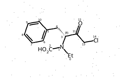 CCN(C(=O)O)[C@H](Cc1ccccc1)C(=O)CCl